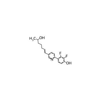 CC(O)CCCC=Cc1ccc(-c2ccc(O)c(F)c2F)nc1